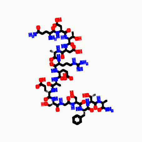 C[C@H](NC(=O)[C@@H](NC(=O)[C@H](Cc1ccccc1)NC(=O)[C@H](CO)NC(=O)CNC(=O)[C@H](CO)NC(=O)[C@H](CCC(=O)O)NC(=O)[C@H](C)NC(=O)[C@H](CCC(=O)O)NC(=O)[C@H](CCCNC(=N)N)NC(=O)[C@H](C)NC(=O)[C@H](CC(=O)O)NC(=O)[C@@H](NC(=O)[C@H](CC(=O)O)NC(=O)[C@@H](N)CCC(N)=O)[C@@H](C)O)[C@@H](C)O)C(N)=O